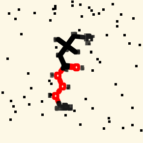 CCCCOOOC(=O)CC(C)(C)CC(C)C